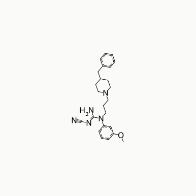 COc1cccc(N(CCCN2CCC(Cc3ccccc3)CC2)C(N)=NC#N)c1